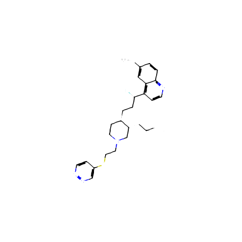 COc1ccc2nccc([C@H](F)CC[C@@H]3CCN(CCSc4ccnnc4)C[C@H]3CCC(=O)O)c2c1